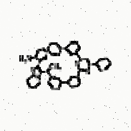 C=C(c1cccc(-c2cccc(-c3nc(-c4ccccc4)cc(-c4cccc(C5=CCCC=C5)c4)n3)c2)c1)c1c(-c2ccccc2N)nc2ccccn12